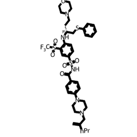 C=C(CCC)CN1CCN(c2ccc(C(=O)NS(=O)(=O)c3ccc(N[C@H](CCN4CCOCC4)CSc4ccccc4)c(S(=O)(=O)C(F)(F)F)c3)cc2)CC1